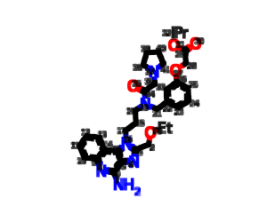 CCOCc1nc2c(N)nc3ccccc3c2n1CCCN(Cc1cccc(OCC(=O)OC(C)C)c1)C(=O)CN1CCCC1